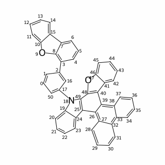 c1cc(-c2cccc3c2oc2ccccc23)cc(-n2c3ccccc3c3c4c5ccccc5c5ccccc5c4c4c5ccccc5oc4c32)c1